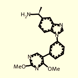 COc1ncc(-c2cccc(-n3cnc4cc([C@H](C)N)ccc43)c2)c(OC)n1